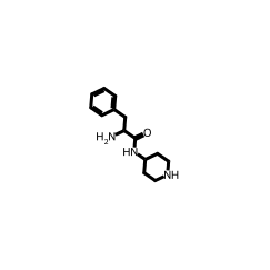 NC(Cc1ccccc1)C(=O)NC1CCNCC1